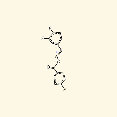 O=C(O/N=C/c1ccc(F)c(F)c1)c1ccc(F)cc1